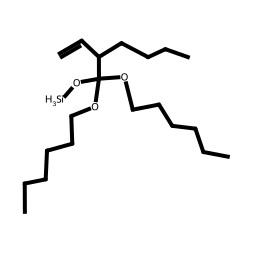 C=CC(CCCC)C(O[SiH3])(OCCCCCC)OCCCCCC